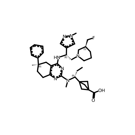 CC[C@@H](N(C)c1nc2c(c(N[C@@H](CN3CCC[C@H](CF)C3)c3cnn(C)c3)n1)C[C@](C)(c1ccccc1)CC2)C12CC(C(=O)O)(C1)C2